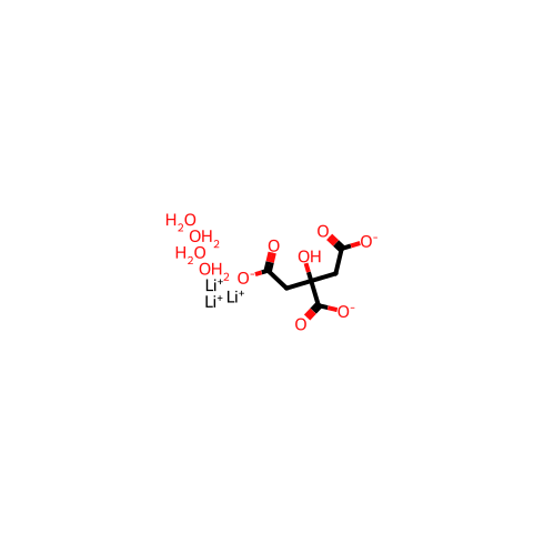 O.O.O.O.O=C([O-])CC(O)(CC(=O)[O-])C(=O)[O-].[Li+].[Li+].[Li+]